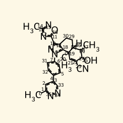 Cc1cc(-c2ccc(-n3nc(-c4nc(C)no4)c4c3[C@]3(C)C=C(C#N)C(O)[C@H](C)[C@H]3CC4)cc2)cnn1